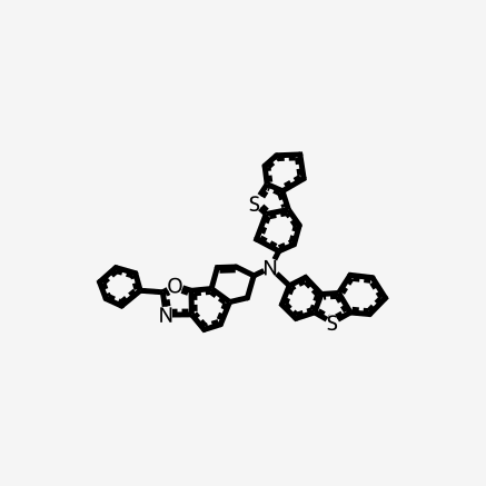 C1=CC(N(c2ccc3c(c2)sc2ccccc23)c2ccc3sc4ccccc4c3c2)Cc2ccc3nc(-c4ccccc4)oc3c21